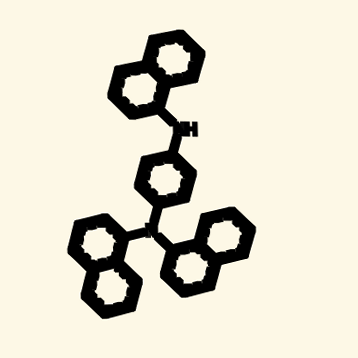 c1ccc2c(Nc3ccc(N(c4cccc5ccccc45)c4cccc5ccccc45)cc3)cccc2c1